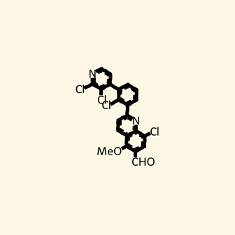 COc1c(C=O)cc(Cl)c2nc(-c3cccc(-c4ccnc(Cl)c4Cl)c3Cl)ccc12